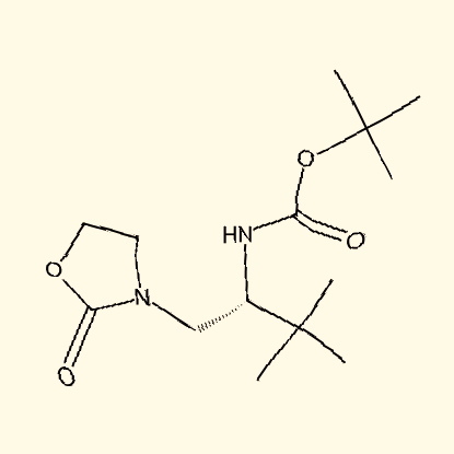 CC(C)(C)OC(=O)N[C@@H](CN1CCOC1=O)C(C)(C)C